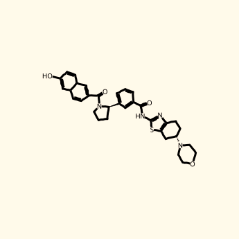 O=C(Nc1nc2c(s1)C[C@@H](N1CCOCC1)CC2)c1cccc([C@H]2CCCN2C(=O)C2=CC3C=CC(O)=CC3C=C2)c1